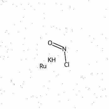 O=NCl.[KH].[Ru]